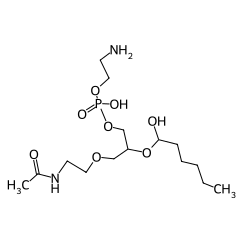 CCCCCC(O)OC(COCCNC(C)=O)COP(=O)(O)OCCN